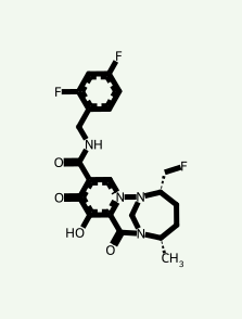 C[C@H]1CC[C@@H](CF)N2CN1C(=O)c1c(O)c(=O)c(C(=O)NCc3ccc(F)cc3F)cn12